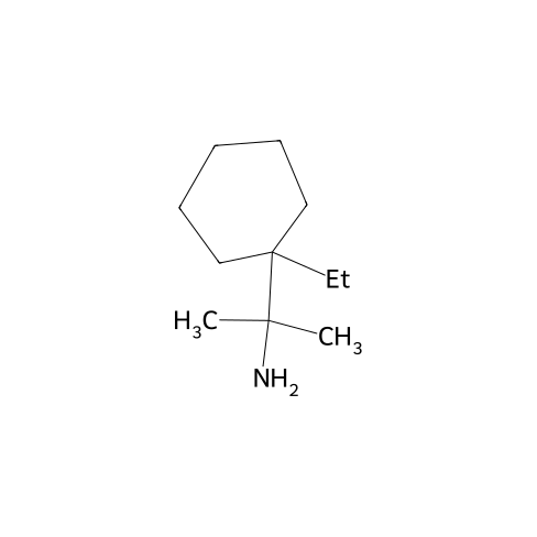 CCC1(C(C)(C)N)CCCCC1